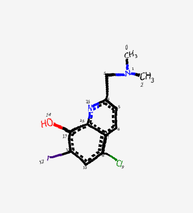 CN(C)Cc1ccc2c(Cl)cc(I)c(O)c2n1